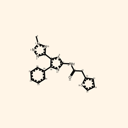 Cn1nnc(-c2sc(NC(=O)Cc3cccs3)nc2-c2ccccc2)n1